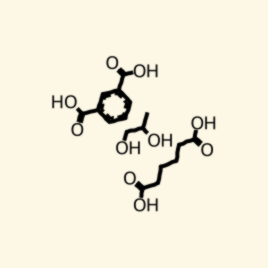 CC(O)CO.O=C(O)CCCCC(=O)O.O=C(O)c1cccc(C(=O)O)c1